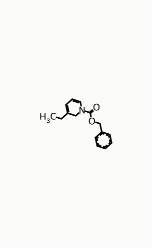 CCC1=CC=CN(C(=O)OCc2ccccc2)C1